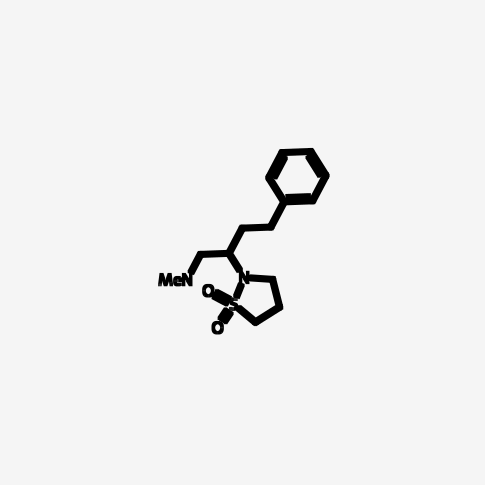 CNCC(CCc1ccccc1)N1CCCS1(=O)=O